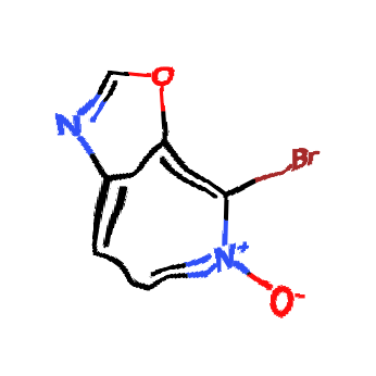 [O-][n+]1ccc2ncoc2c1Br